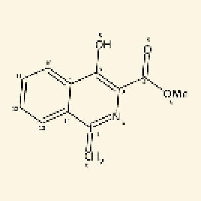 C=I1=NC(C(=O)OC)=C(O)c2ccccc21